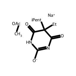 CCCC(C)C1(CC)C(=O)N=C([O-])NC1=O.COC(C)=O.[Na+]